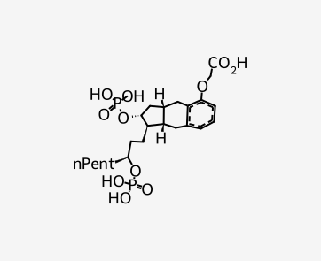 CCCCC[C@@H](CC[C@@H]1[C@H]2Cc3cccc(OCC(=O)O)c3C[C@H]2C[C@H]1OP(=O)(O)O)OP(=O)(O)O